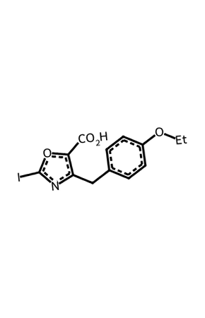 CCOc1ccc(Cc2nc(I)oc2C(=O)O)cc1